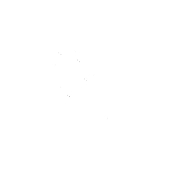 Cc1cc(F)cc(CNC(=O)c2c(Nc3ccc(-c4ccccc4)cc3)[nH]c(=O)n(O)c2=O)c1